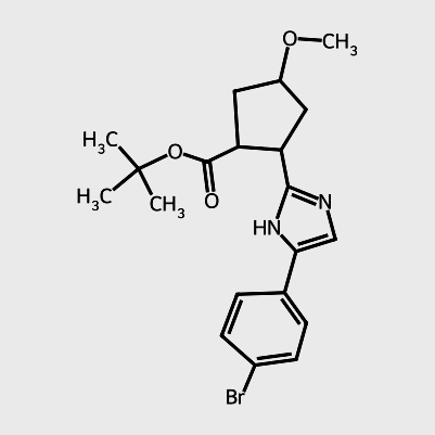 COC1CC(C(=O)OC(C)(C)C)C(c2ncc(-c3ccc(Br)cc3)[nH]2)C1